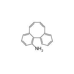 Nc1cccc2c1-c1ccccc1C=CC=C2